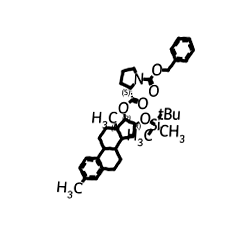 Cc1ccc2c(c1)CCC1C2CC[C@@]2(C)C1C[C@@H](O[Si](C)(C)C(C)(C)C)[C@@H]2OC(=O)[C@@H]1CCCN1C(=O)OCc1ccccc1